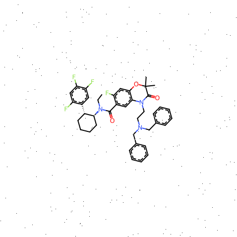 CCN(C(=O)c1cc2c(cc1F)OC(C)(C)C(=O)N2CCN(Cc1ccccc1)Cc1ccccc1)[C@H]1CCCC[C@@H]1c1cc(F)c(F)cc1F